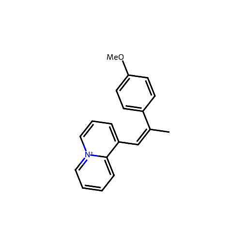 COc1ccc(/C(C)=C\c2ccc[n+]3ccccc23)cc1